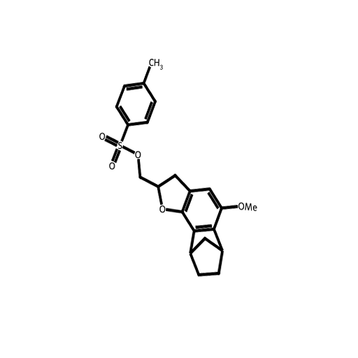 COc1cc2c(c3c1C1CCC3C1)OC(COS(=O)(=O)c1ccc(C)cc1)C2